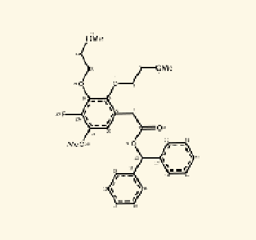 COCCOc1c([CH]C(=O)OC(c2ccccc2)c2ccccc2)cc(OC)c(F)c1OCCOC